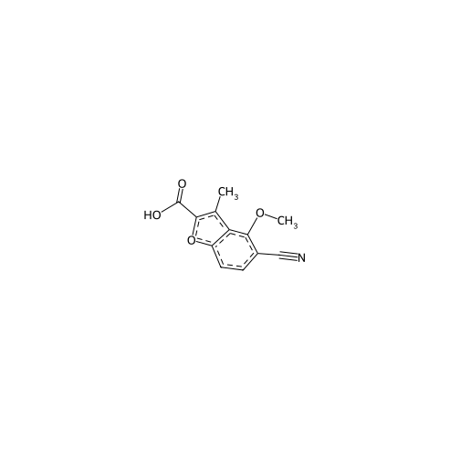 COc1c(C#N)ccc2oc(C(=O)O)c(C)c12